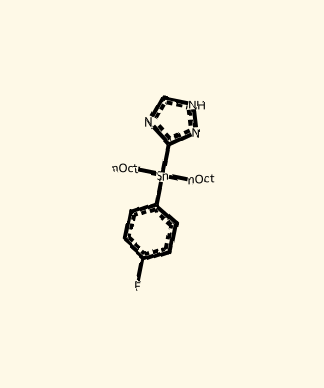 CCCCCCC[CH2][Sn]([CH2]CCCCCCC)([c]1ccc(F)cc1)[c]1nc[nH]n1